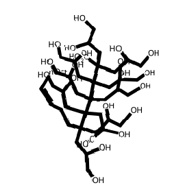 CCCCCCCC/C=C\CCC(CC(O)CO)(CC(O)CO)C(CC(O)CO)(CC(O)CO)C(CC(O)CO)(CC(O)CO)C(CC(O)CO)(CC(O)CO)C(CC(O)CO)(CC(O)CO)C(=O)O